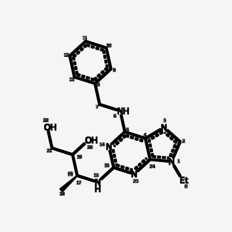 CCn1cnc2c(NCc3ccccc3)nc(N[C@@H](C)C(O)CO)nc21